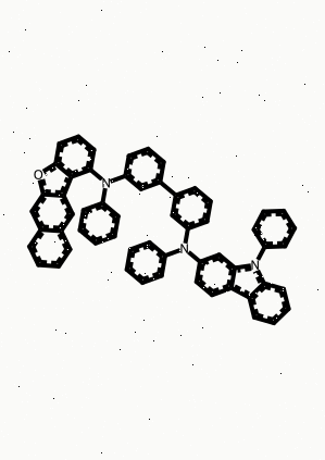 c1ccc(N(c2cccc(-c3cccc(N(c4ccccc4)c4cccc5oc6cc7ccccc7cc6c45)c3)c2)c2ccc3c4ccccc4n(-c4ccccc4)c3c2)cc1